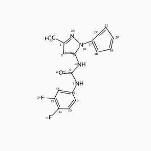 Cc1cc(NC(=O)Nc2ccc(F)c(F)c2)n(-c2ccccc2)n1